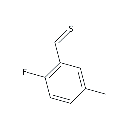 Cc1ccc(F)c(C=S)c1